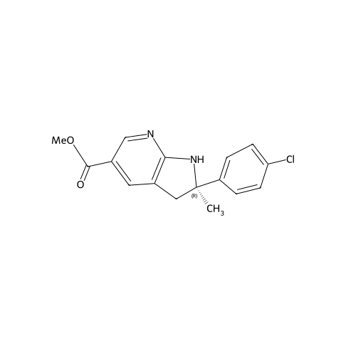 COC(=O)c1cnc2c(c1)C[C@](C)(c1ccc(Cl)cc1)N2